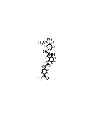 CC(=O)c1ccc(NC(=O)Nc2cccc3[nH]c(C(=O)N4CCCC(N(C)C)C4)cc23)cc1